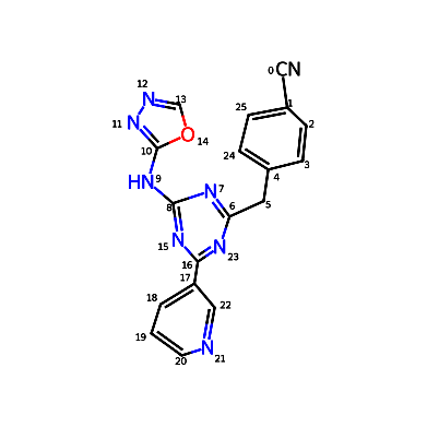 N#Cc1ccc(Cc2nc(Nc3nnco3)nc(-c3cccnc3)n2)cc1